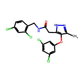 Cc1n[nH]c(CC(=O)NCc2ccc(Cl)cc2Cl)c1Oc1cc(Cl)cc(Cl)c1